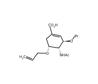 C=CCO[C@@H]1CC(C(=O)O)=C[C@@H](OC(C)C)[C@@H]1NC(C)=O